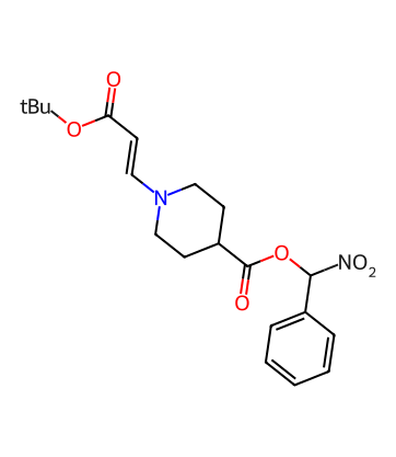 CC(C)(C)OC(=O)C=CN1CCC(C(=O)OC(c2ccccc2)[N+](=O)[O-])CC1